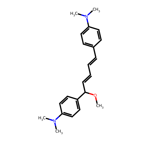 COC(/C=C/C=C/c1ccc(N(C)C)cc1)c1ccc(N(C)C)cc1